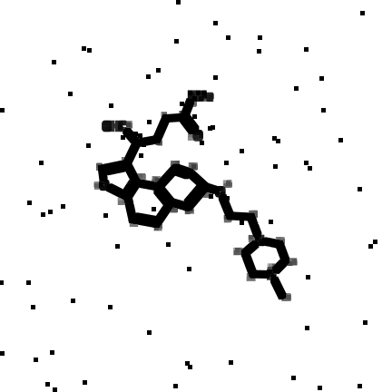 CNC(=O)CCC(C=O)c1coc2ccc3cc(OCCN4CCN(C)CC4)ccc3c12